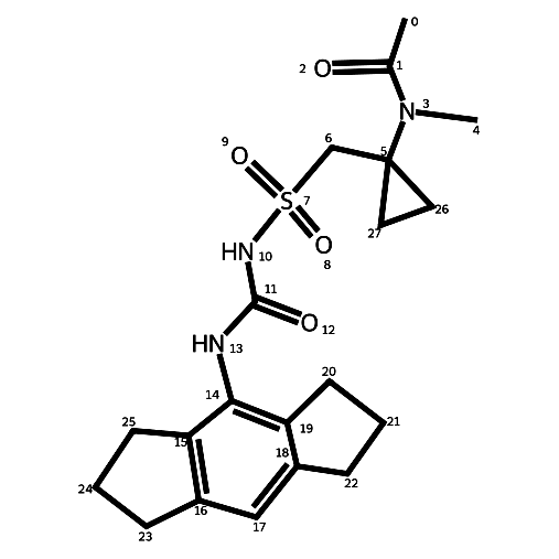 CC(=O)N(C)C1(CS(=O)(=O)NC(=O)Nc2c3c(cc4c2CCC4)CCC3)CC1